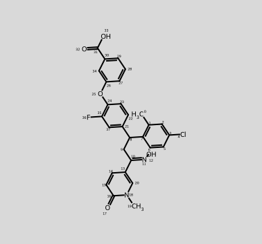 Cc1cc(Cl)ccc1C(C/C(=N\O)c1ccc(=O)n(C)c1)c1ccc(Oc2cccc(C(=O)O)c2)c(F)c1